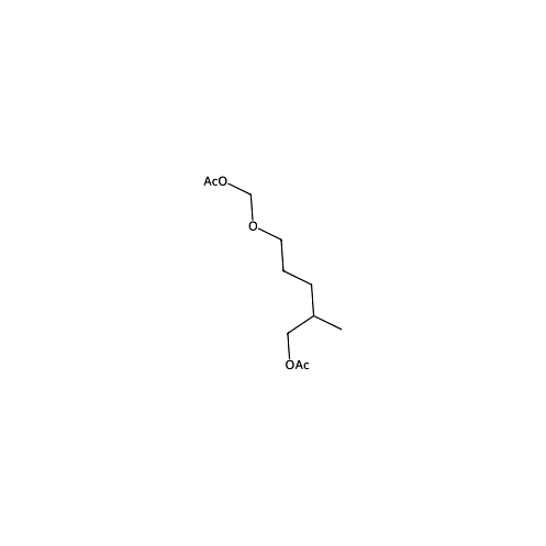 CC(=O)OCOCCCC(C)COC(C)=O